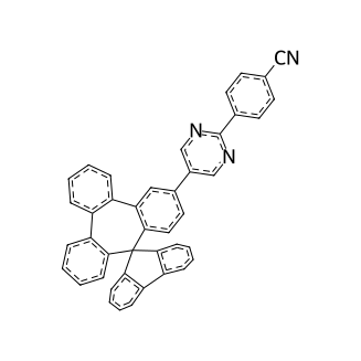 N#Cc1ccc(-c2ncc(-c3ccc4c(c3)-c3ccccc3-c3ccccc3C43c4ccccc4-c4ccccc43)cn2)cc1